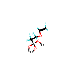 CCO[Si](OCC)(OCC)C(F)(F)C(F)(F)OC(F)=C(F)F